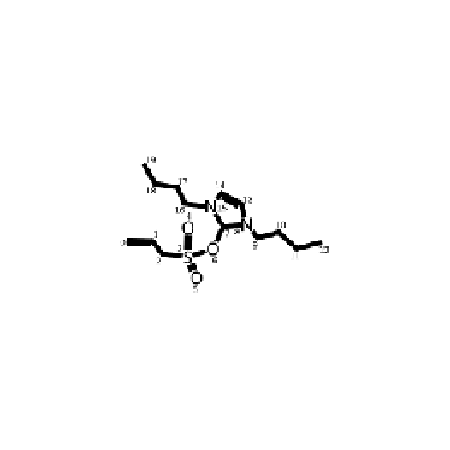 C=CCS(=O)(=O)OC1N(CCCC)C=CN1CCCC